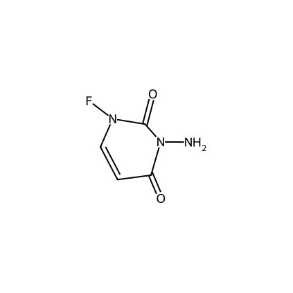 Nn1c(=O)ccn(F)c1=O